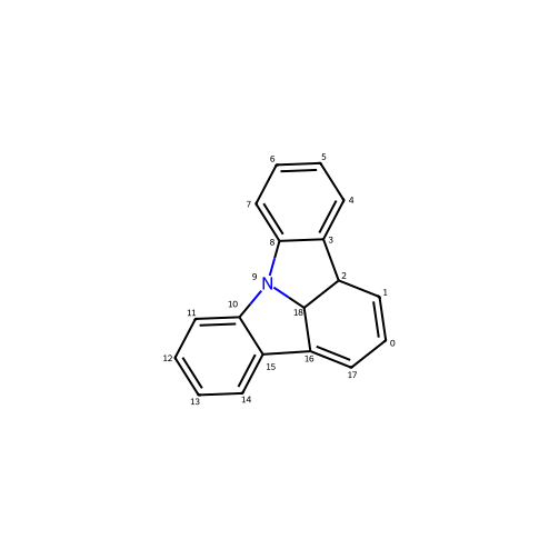 C1=CC2c3ccccc3N3c4ccccc4C(=C1)C23